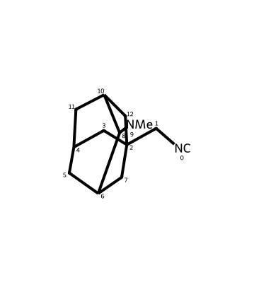 [C-]#[N+]CC12CC3CC(C1)C(NC)C(C3)C2